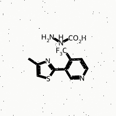 Cc1csc(-c2cnccc2C(F)(F)F)n1.NNC(=O)O